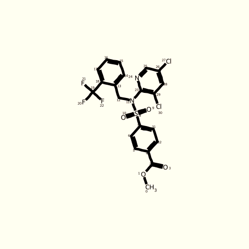 COC(=O)c1ccc(S(=O)(=O)N(Cc2ccccc2C(F)(F)F)c2ncc(Cl)cc2Cl)cc1